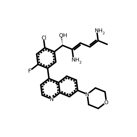 C/C(N)=C/C=C(\N)[C@@H](O)c1cc(-c2ccnc3cc(N4CCOCC4)ccc23)c(F)cc1Cl